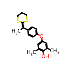 CC(=C1SCCCS1)c1ccc(Oc2cc(C)c(O)c(C)c2)cc1